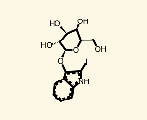 OC[C@H]1O[C@@H](Oc2c(I)[nH]c3ccccc23)[C@H](O)[C@@H](O)[C@H]1O